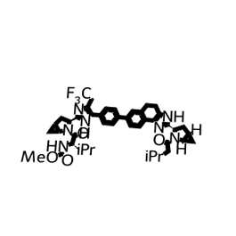 COC(=O)N[C@H](C(=O)N1C2CC2C[C@H]1c1nc(CC(F)(F)F)c(-c2ccc(-c3ccc4c(c3)CCc3[nH]c([C@@H]5C[C@H]6C[C@H]6N5C(=O)CC(C)C)nc3-4)cc2)[nH]1)C(C)C